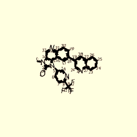 Cn1c(=O)n(-c2ccc(C(F)(F)F)nc2)c2c3cc(-c4cnc5ccccc5c4)ccc3ncc21